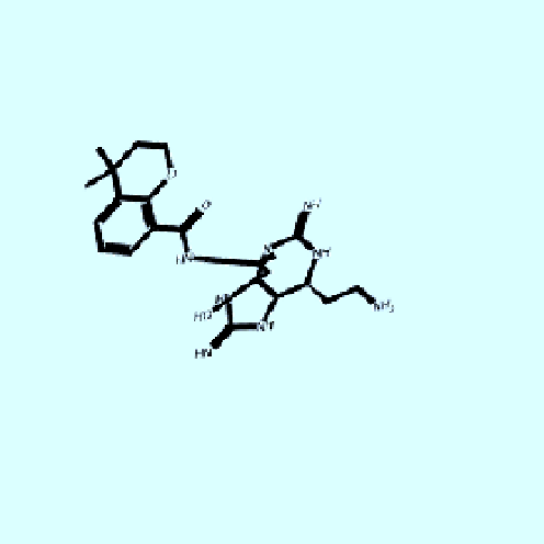 CC1(C)CCOc2c(C(=O)NC3CN4C(=N)N[C@@H](CCN)C5NC(=N)NC54[C@@H]3O)cccc21